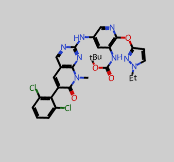 CCn1ccc(Oc2ncc(Nc3ncc4cc(-c5c(Cl)cccc5Cl)c(=O)n(C)c4n3)cc2NC(=O)OC(C)(C)C)n1